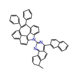 CC1CC=Cc2c1ccc1c(-c3ccc4ccccc4c3)nc(-n3c4cccc5c4c4c6c(cccc6ccc43)C(c3ccccc3)=C5c3ccccc3)nc21